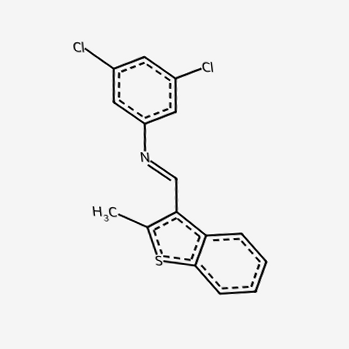 Cc1sc2ccccc2c1/C=N/c1cc(Cl)cc(Cl)c1